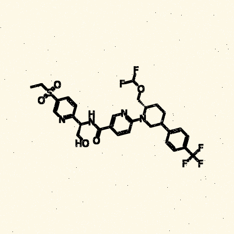 CCS(=O)(=O)c1ccc([C@H](CO)NC(=O)c2ccc(N3CC(c4ccc(C(F)(F)F)cc4)CC[C@H]3COC(F)F)nc2)nc1